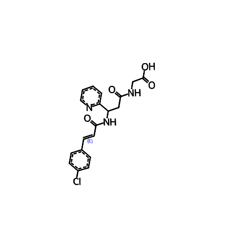 O=C(O)CNC(=O)CC(NC(=O)/C=C/c1ccc(Cl)cc1)c1ccccn1